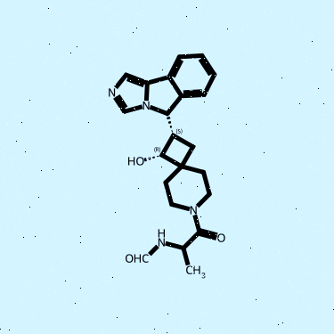 CC(NC=O)C(=O)N1CCC2(CC1)C[C@@H](C1c3ccccc3-c3cncn31)[C@H]2O